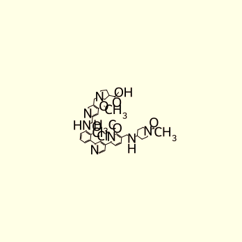 COc1cc(C(=O)Nc2cccc(-c3nccc(-c4ccc(CNC5CCN(C(C)=O)CC5)c(OC)n4)c3Cl)c2Cl)ncc1CN1CCC(C(=O)O)C1